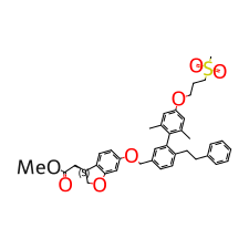 COC(=O)C[C@@H]1COc2cc(OCc3ccc(CCc4ccccc4)c(-c4c(C)cc(OCCCS(C)(=O)=O)cc4C)c3)ccc21